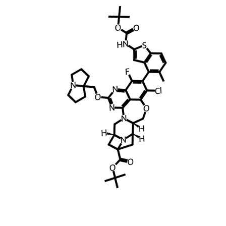 Cc1ccc2sc(NC(=O)OC(C)(C)C)cc2c1-c1c(Cl)c2c3c(nc(OCC45CCCN4CCC5)nc3c1F)N1C[C@H]3CC4(C(=O)OC(C)(C)C)C[C@@H]([C@H]1CO2)N34